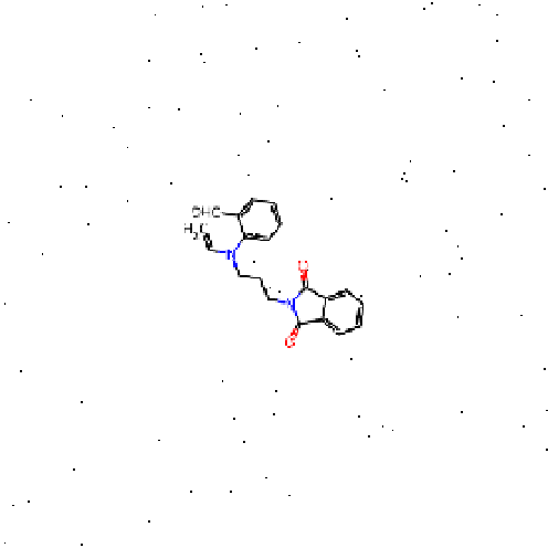 C=CN(CCCN1C(=O)c2ccccc2C1=O)c1ccccc1C=O